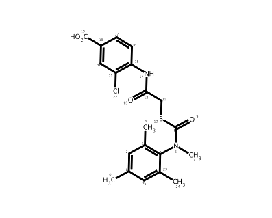 Cc1cc(C)c(N(C)C(=O)SCC(=O)Nc2ccc(C(=O)O)cc2Cl)c(C)c1